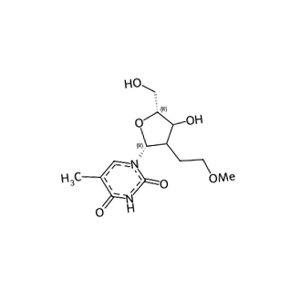 COCCC1C(O)[C@@H](CO)O[C@H]1n1cc(C)c(=O)[nH]c1=O